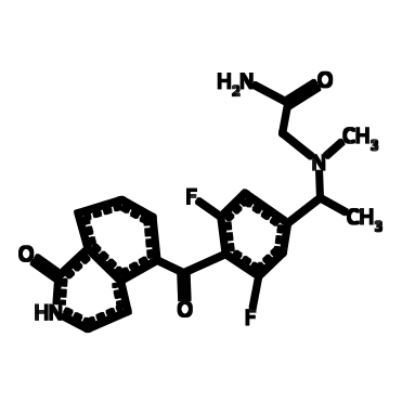 CC(c1cc(F)c(C(=O)c2cccc3c(=O)[nH]ccc23)c(F)c1)N(C)CC(N)=O